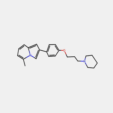 Cc1cccc2cc(-c3ccc(OCCCN4CCCCC4)cc3)cn12